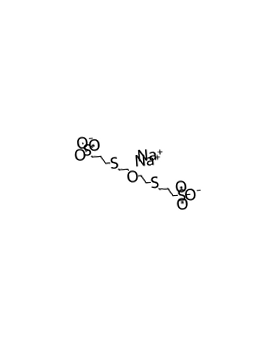 O=S(=O)([O-])CCCSCCOCCSCCCS(=O)(=O)[O-].[Na+].[Na+]